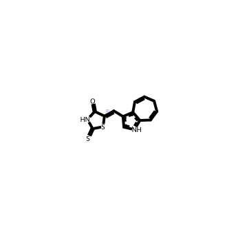 O=C1NC(=S)S/C1=C\c1c[nH]c2c1C=CCC=C2